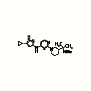 CNC(C)(C)C1CCCN(c2nccc(Nc3cc(C4CC4)[nH]n3)n2)C1